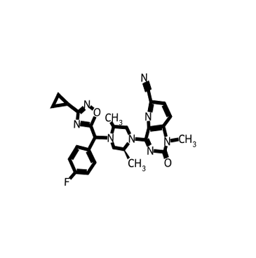 CC1CN(c2nc(=O)n(C)c3ccc(C#N)nc23)[C@@H](C)CN1C(c1ccc(F)cc1)c1nc(C2CC2)no1